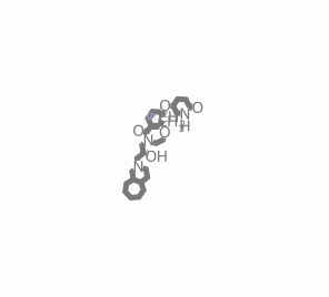 C=C(/C=C\C1=C(C)OCCN(C[C@H](O)CN2CCC3CCCCCC3C2)C1=O)OC1CCC(=O)NC1